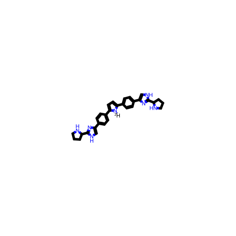 [2H]n1c(-c2ccc(-c3c[nH]c(C4CCCN4)n3)cc2)ccc1-c1ccc(-c2c[nH]c(C3CCCN3)n2)cc1